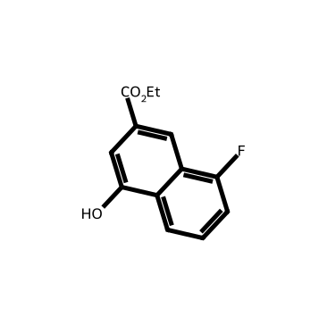 CCOC(=O)c1cc(O)c2cccc(F)c2c1